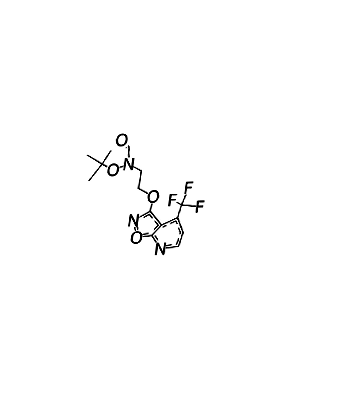 CC(C)(C)ON(C=O)CCOc1noc2nccc(C(F)(F)F)c12